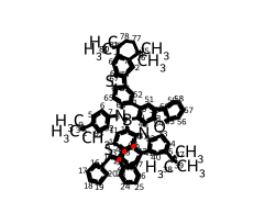 CC(C)(C)c1ccc(N2B3c4cc5sc(-c6ccccc6)c(-c6ccccc6)c5cc4N(c4ccc(C(C)(C)C)cc4-c4ccccc4)c4c3c(cc3c4oc4ccccc43)-c3cc4c(cc32)sc2cc3c(cc24)C(C)(C)CCC3(C)C)cc1